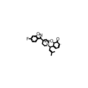 COC1C(=O)[C]=CC=C1C(C=C(C)C)N1CCC(c2noc3cc(F)ccc23)CC1